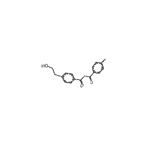 Cc1ccc(C(=O)CC(=O)c2ccc(CCO)cc2)cc1